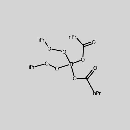 CCCC(=O)[O][Ti]([O]OC(C)C)([O]OC(C)C)[O]C(=O)CCC